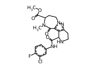 COC(=O)C1CCn2nc3c(c2C(=O)N1C)C(C(=O)Nc1ccc(F)c(Cl)c1)NCC3